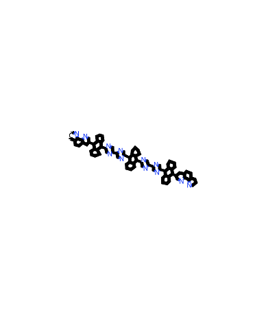 c1cnc2c(c1)ccc1cc(-c3c4ccccc4c(-c4cnc(-c5cnc(-c6c7ccccc7c(-c7cnc(-c8cnc(-c9c%10ccccc%10c(-c%10cnc%11c(ccc%12cccnc%12%11)c%10)c%10ccccc9%10)cn8)cn7)c7ccccc67)cn5)cn4)c4ccccc34)cnc12